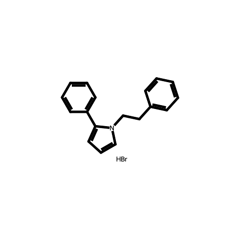 Br.c1ccc(CCn2cccc2-c2ccccc2)cc1